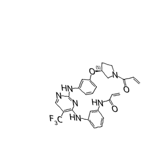 C=CC(=O)Nc1cccc(Nc2nc(Nc3cccc(O[C@H]4CCN(C(=O)C=C)C4)c3)ncc2C(F)(F)F)c1